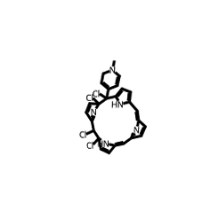 CN1C=CC(C2(Cl)c3ccc([nH]3)C=C3C=CC(=N3)C=C3C=CC(Cl)(N3)C(Cl)C3=NC2(Cl)C=C3)=CC1